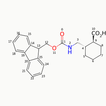 O=C(NC[C@H]1CCCC[C@@H]1C(=O)O)OCC1c2ccccc2-c2ccccc21